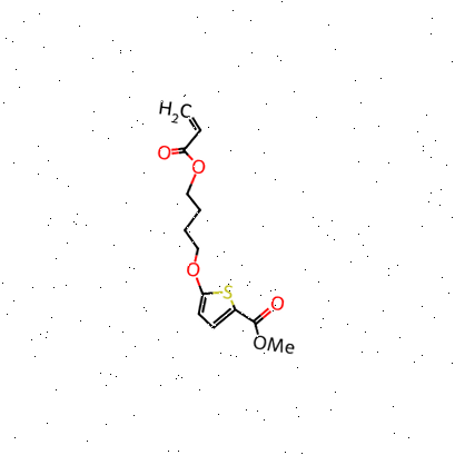 C=CC(=O)OCCCCOc1ccc(C(=O)OC)s1